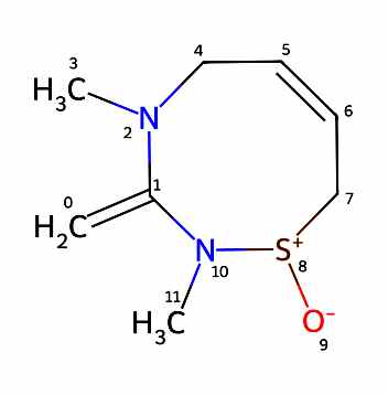 C=C1N(C)C/C=C\C[S+]([O-])N1C